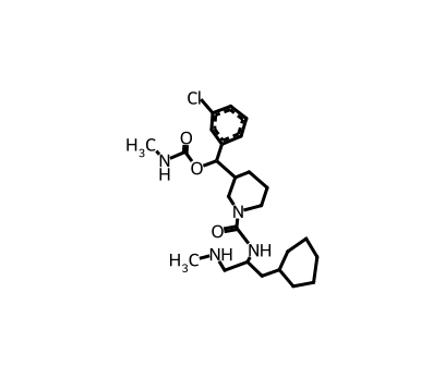 CNCC(CC1CCCCC1)NC(=O)N1CCCC(C(OC(=O)NC)c2cccc(Cl)c2)C1